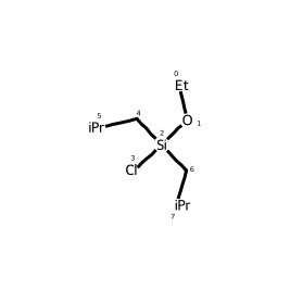 CCO[Si](Cl)(CC(C)C)CC(C)C